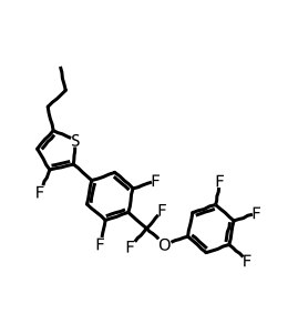 CCCc1cc(F)c(-c2cc(F)c(C(F)(F)Oc3cc(F)c(F)c(F)c3)c(F)c2)s1